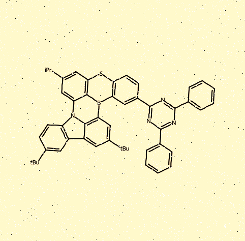 CC(C)c1cc2c3c(c1)-n1c4ccc(C(C)(C)C)cc4c4cc(C(C)(C)C)cc(c41)B3c1cc(-c3nc(-c4ccccc4)nc(-c4ccccc4)n3)ccc1S2